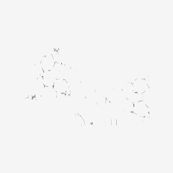 CC(=O)c1c(CCCCN2CCC(c3ccccc3)(c3ccccc3)CC2)nc(C)c(C(=O)OC(C)(C)C)c1-c1cccc(Cl)c1Cl.O=C(O)/C=C/C(=O)O